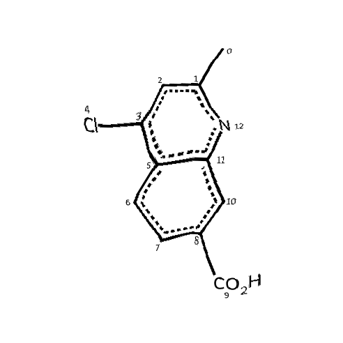 Cc1cc(Cl)c2ccc(C(=O)O)cc2n1